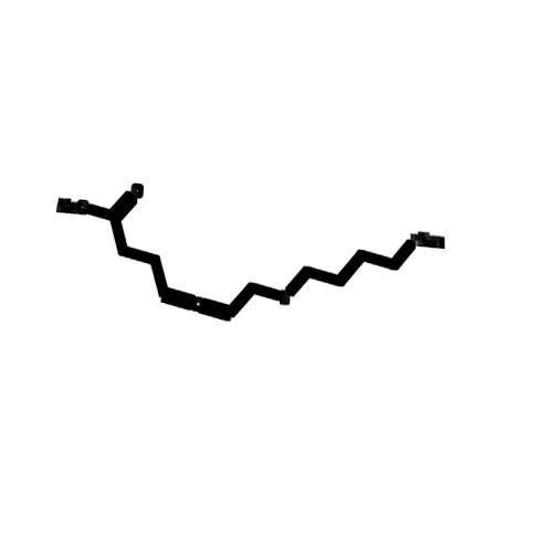 CCCCCCCCCCCCCSCC=C=CCCC(=O)OC